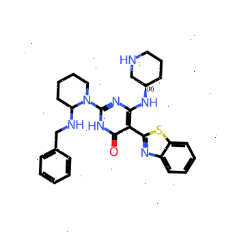 O=c1[nH]c(N2CCCCC2NCc2ccccc2)nc(N[C@@H]2CCCNC2)c1-c1nc2ccccc2s1